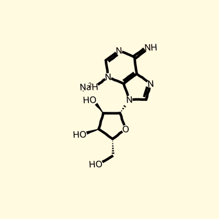 [2H]n1cnc(=N)c2ncn([C@@H]3O[C@H](CO)[C@@H](O)[C@H]3O)c21.[Na]